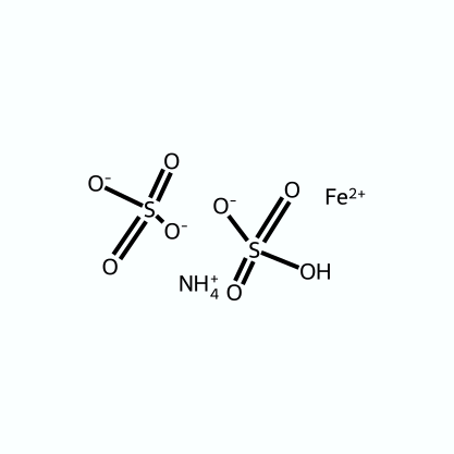 O=S(=O)([O-])O.O=S(=O)([O-])[O-].[Fe+2].[NH4+]